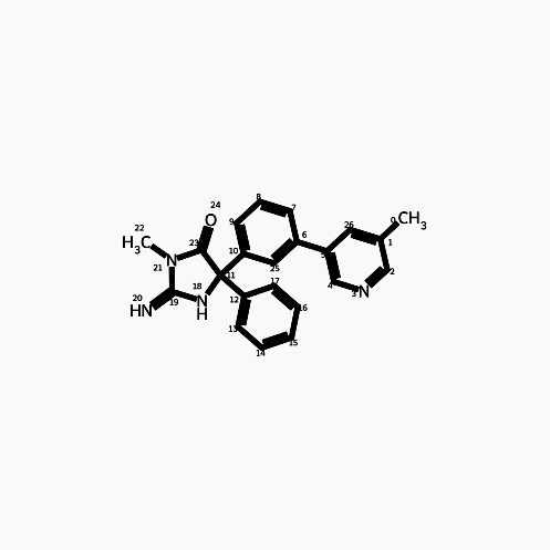 Cc1cncc(-c2cccc(C3(c4ccccc4)NC(=N)N(C)C3=O)c2)c1